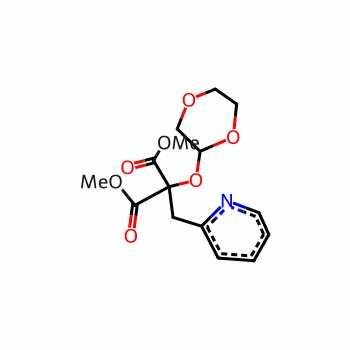 COC(=O)C(Cc1ccccn1)(OC1COCCO1)C(=O)OC